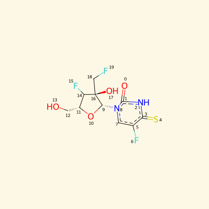 O=c1[nH]c(=S)c(F)cn1[C@@H]1O[C@H](CO)C(F)[C@]1(O)CF